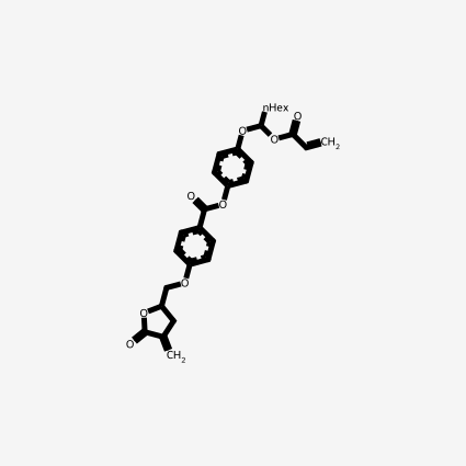 C=CC(=O)OC(CCCCCC)Oc1ccc(OC(=O)c2ccc(OCC3CC(=C)C(=O)O3)cc2)cc1